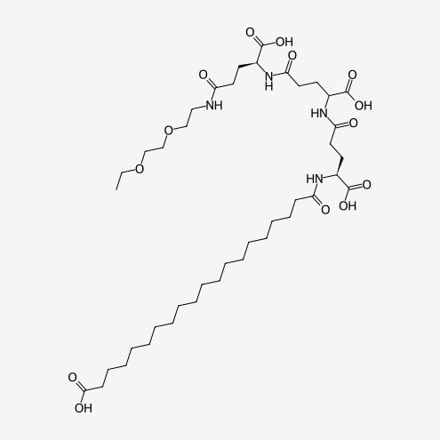 CCOCCOCCNC(=O)CC[C@H](NC(=O)CCC(NC(=O)CC[C@H](NC(=O)CCCCCCCCCCCCCCCCCCC(=O)O)C(=O)O)C(=O)O)C(=O)O